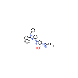 Cc1cn(-c2ccc(Nc3cccc4c3nc(-c3ccccc3C)n4Cc3ccccc3)cc2CO)cn1